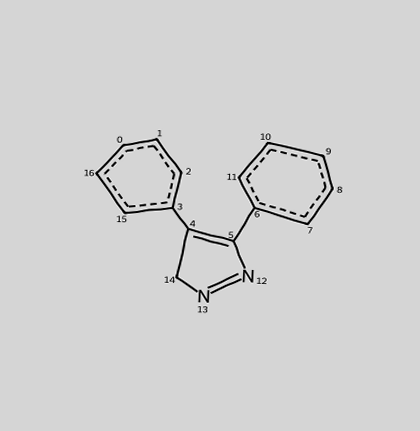 c1ccc(C2=C(c3ccccc3)N=NC2)cc1